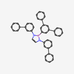 C1=CN(c2cccc(-c3ccccc3)c2)P(c2cc(-c3ccccc3)cc(-c3ccccc3)c2)N1c1cccc(-c2ccccc2)c1